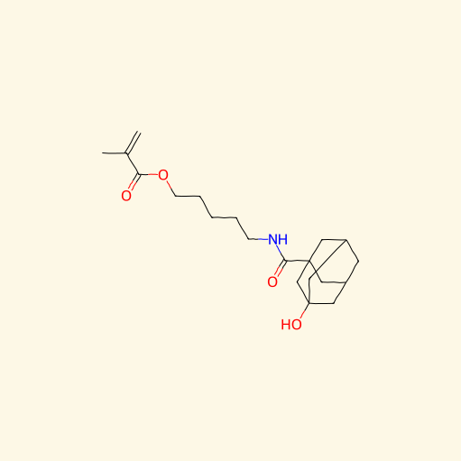 C=C(C)C(=O)OCCCCCNC(=O)C12CC3CC(CC(O)(C3)C1)C2